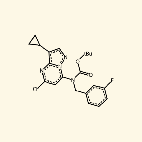 CC(C)(C)OC(=O)N(Cc1cccc(F)c1)c1cc(Cl)nc2c(C3CC3)cnn12